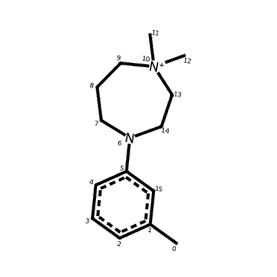 Cc1cccc(N2CCC[N+](C)(C)CC2)c1